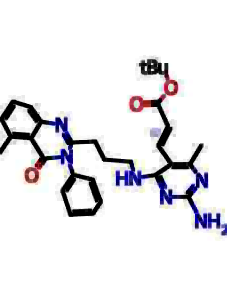 Cc1nc(N)nc(NCCCc2nc3cccc(C)c3c(=O)n2-c2ccccc2)c1/C=C/C(=O)OC(C)(C)C